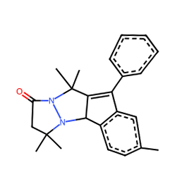 Cc1ccc2c(c1)C(c1ccccc1)=C1C2N2N(C(=O)CC2(C)C)C1(C)C